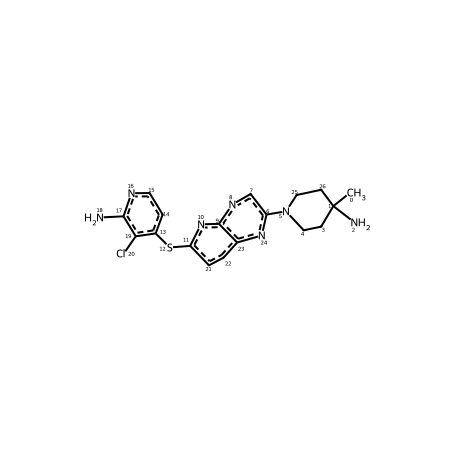 CC1(N)CCN(c2cnc3nc(Sc4ccnc(N)c4Cl)ccc3n2)CC1